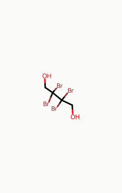 OCC(Br)(Br)C(Br)(Br)CO